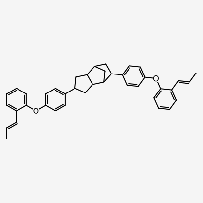 CC=Cc1ccccc1Oc1ccc(C2CC3C4CC(c5ccc(Oc6ccccc6C=CC)cc5)C(C4)C3C2)cc1